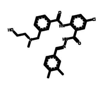 Cc1ccc(C=NNC(=O)c2cc(Cl)ccc2NC(=O)c2cccc(CN(C)CCO)c2)cc1C